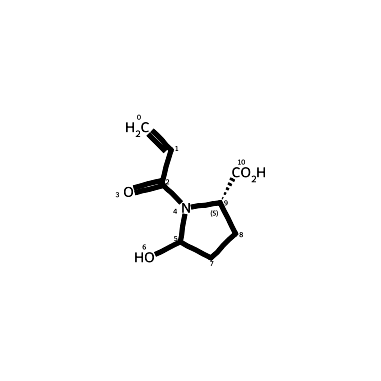 C=CC(=O)N1C(O)CC[C@H]1C(=O)O